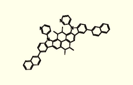 CC1c2cc3c4cc(-c5ccc6ccccc6c5)ccc4n(-c4cccnc4)c3c3c2-c2c(cc4c5cc(-c6ccc7ccccc7c6)ccc5n(-c5cccnc5)c4c2C(C)C3C)C1C